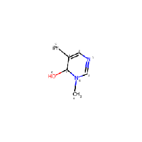 CC(C)C1=CN=CN(C)C1O